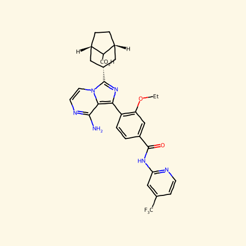 CCOc1cc(C(=O)Nc2cc(C(F)(F)F)ccn2)ccc1-c1nc([C@H]2C[C@H]3CC[C@@H](C2)C3C(=O)O)n2ccnc(N)c12